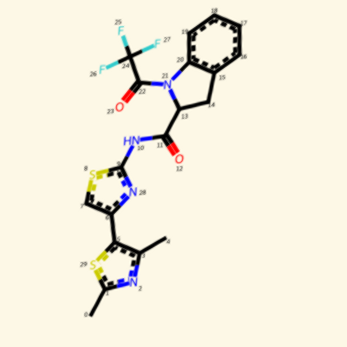 Cc1nc(C)c(-c2csc(NC(=O)C3Cc4ccccc4N3C(=O)C(F)(F)F)n2)s1